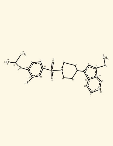 CCn1cc(C2CCN(S(=O)(=O)c3ccc(OC(C)C)c(F)c3)CC2)c2ccncc21